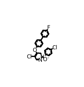 [O-][N+]1(c2ccc(Cl)cc2)CC(Oc2ccc(-c3ccc(F)cc3)cc2)=C(Cl)C=N1